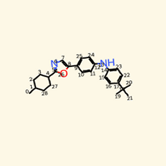 CC1CCC(c2ncc(-c3ccc(Nc4ccc(C(C)(C)C)cc4)cc3)o2)CC1